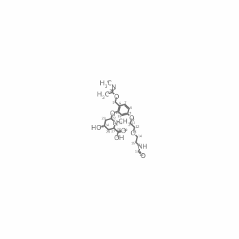 C/N=C(\C)OCc1ccc(OCCOCCNC=O)cc1OC1CC(O)CC(C(=O)O)N1C